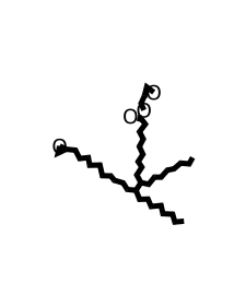 CCCCCCCCC(CCCCCCCCCCC1CO1)C(CCCCCCCC)CCCCCCCCC(=O)OCC1CO1